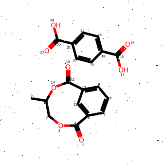 CC1COC(=O)c2cccc(c2)C(=O)O1.O=C(O)c1ccc(C(=O)O)cc1